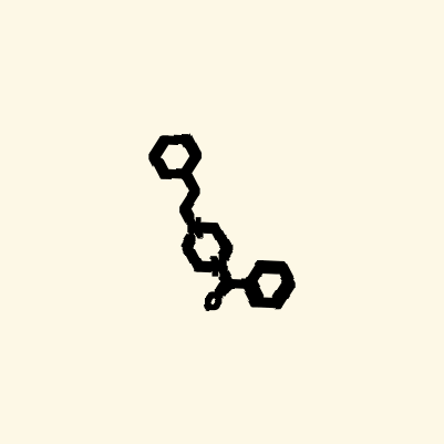 O=C(c1ccccc1)N1CCN(CCC2CCCCC2)CC1